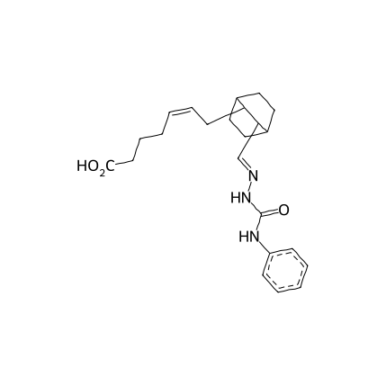 O=C(O)CCC/C=C\CC1C2CCC(CC2)C1C=NNC(=O)Nc1ccccc1